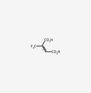 O=C(O)/C=C(\C(=O)O)C(F)(F)F